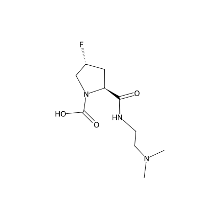 CN(C)CCNC(=O)[C@@H]1C[C@@H](F)CN1C(=O)O